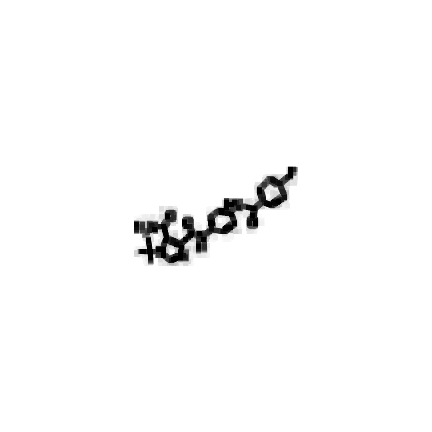 CC(C)(C)n1cnc(C(=O)Nc2ccc(NC(=O)c3ccc(F)cc3)cc2)c1C(N)=O